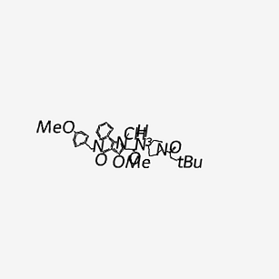 COc1ccc(Cn2c(=O)c3c(OC)c(C(=O)NC4CCN(C(=O)CC(C)(C)C)CC4)n(C)c3c3ccccc32)cc1